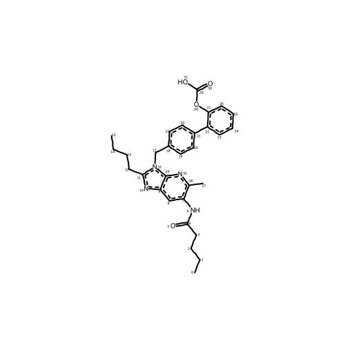 CCCCC(=O)Nc1cc2nc(CCCC)n(Cc3ccc(-c4ccccc4OC(=O)O)cc3)c2nc1C